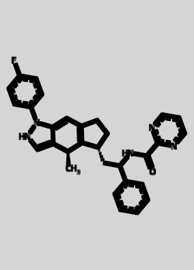 C[C@H]1C2=CNN(c3ccc(F)cc3)C2=CC2=C1[C@@H](CC(NC(=O)c1ncccn1)c1ccccc1)CC2